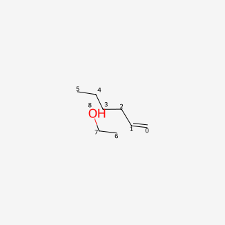 C=CCCCC.CCO